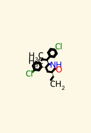 C=CC[C@@H]1C[C@H](c2cccc(Cl)c2)[C@@H](C(c2ccc(Cl)cc2)C(C)C)NC1=O